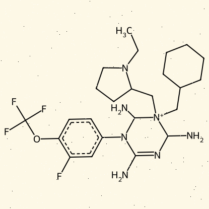 CCN1CCCC1C[N+]1(CC2CCCCC2)C(N)N=C(N)N(c2ccc(OC(F)(F)F)c(F)c2)C1N